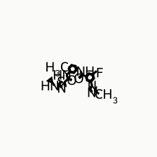 Cc1cn(-c2cc(CF)cc(C(=O)Nc3ccc(C)c(NC(=O)c4cnc(NC5CC5)s4)c3)c2)cn1